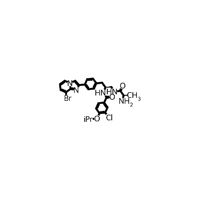 CC(C)Oc1ccc(C(=O)N[C@H](CNC(=O)[C@@H](C)N)Cc2ccc(-c3cn4cccc(Br)c4n3)cc2)cc1Cl